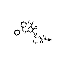 C[C@H](COc1cc(N=C(c2ccccc2)c2ccccc2)cn(C(F)F)c1=O)OC(=O)NC(C)(C)C